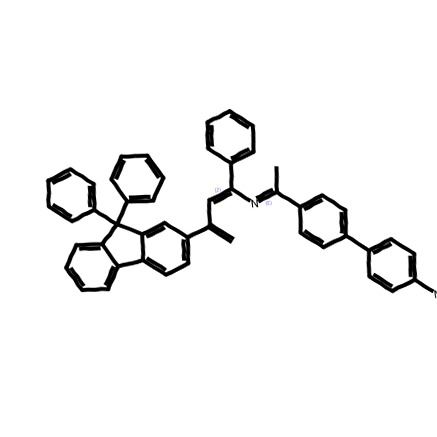 C=C(/C=C(\N=C(/C)c1ccc(-c2ccc(N)cc2)cc1)c1ccccc1)c1ccc2c(c1)C(c1ccccc1)(c1ccccc1)c1ccccc1-2